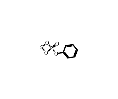 O=P1(Oc2ccccc2)OSO1